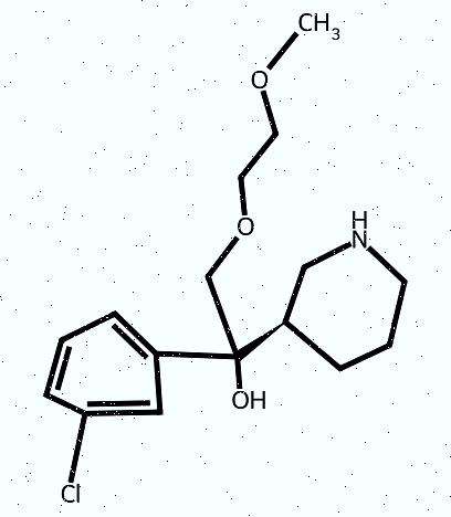 COCCOCC(O)(c1cccc(Cl)c1)[C@@H]1CCCNC1